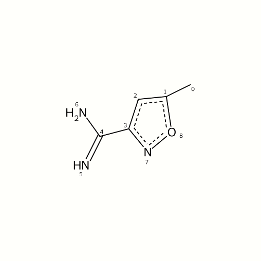 Cc1cc(C(=N)N)no1